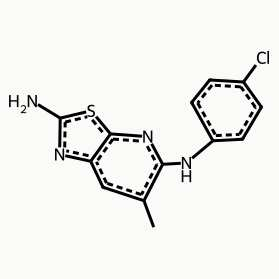 Cc1cc2nc(N)sc2nc1Nc1ccc(Cl)cc1